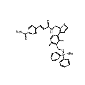 CNC(=O)c1ccc(/C=C/C(=O)NCc2sccc2-c2ccc(C)c(CO[Si](c3ccccc3)(c3ccccc3)C(C)(C)C)c2C)cc1